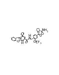 NC(=O)[C@@H]1CCCN1C(=O)c1ccc(CNC(=O)c2cc(=O)n(Cc3ccccc3)c(=O)[nH]2)c(OC(F)(F)F)c1